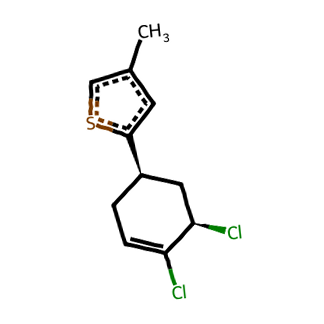 Cc1csc([C@@H]2CC=C(Cl)[C@H](Cl)C2)c1